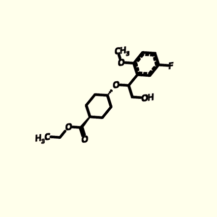 CCOC(=O)[C@H]1CC[C@H](OC(CO)c2cc(F)ccc2OC)CC1